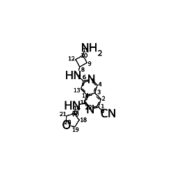 N#Cc1cc2cnc(NC3CC(N)C3)cc2c(N[C@@H]2CCOC2)n1